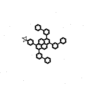 C[Si](C)(C)c1ccc(-c2cc(-c3cccc(-c4ccccc4)c3)c3ccc4c(-c5cccc(-c6ccccc6)c5)cc(-c5cccc(-c6ccccc6)c5)c5ccc2c3c54)cc1